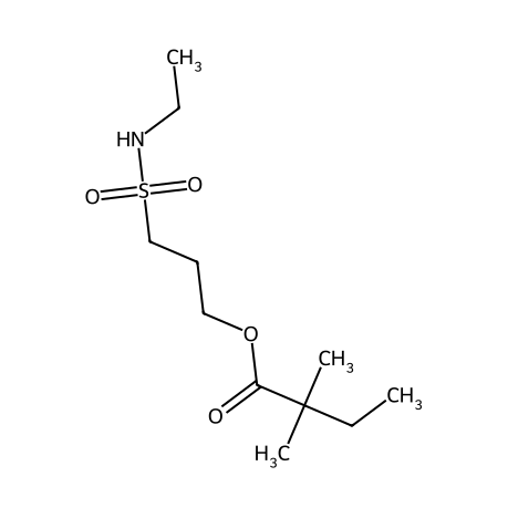 CCNS(=O)(=O)CCCOC(=O)C(C)(C)CC